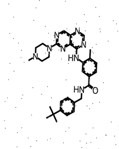 Cc1ccc(C(=O)NCc2ccc(C(C)(C)C)cc2)cc1Nc1ncnc2cnc(N3CCN(C)CC3)nc12